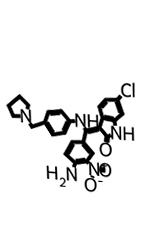 Nc1ccc(C(Nc2ccc(CN3CCCC3)cc2)=C2C(=O)Nc3cc(Cl)ccc32)cc1[N+](=O)[O-]